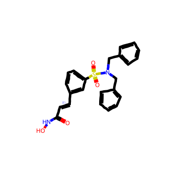 O=C(/C=C/c1cccc(S(=O)(=O)N(Cc2ccccc2)Cc2ccccc2)c1)NO